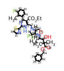 CCOC(=O)C1=C(CN2CC(F)(F)[C@H]3[C@@H]2CON3[C@H](C)[C@H](O)C(C)(C)C(=O)OCc2ccccc2)NC(c2nccs2)=N[C@H]1c1cccc(F)c1C